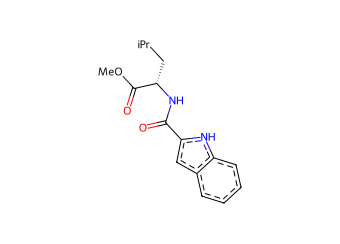 COC(=O)[C@H](CC(C)C)NC(=O)c1cc2ccccc2[nH]1